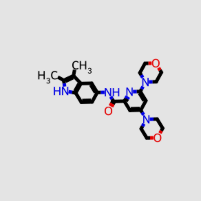 Cc1[nH]c2ccc(NC(=O)c3cc(N4CCOCC4)cc(N4CCOCC4)n3)cc2c1C